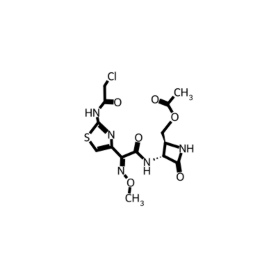 CO/N=C(\C(=O)N[C@H]1C(=O)N[C@@H]1COC(C)=O)c1csc(NC(=O)CCl)n1